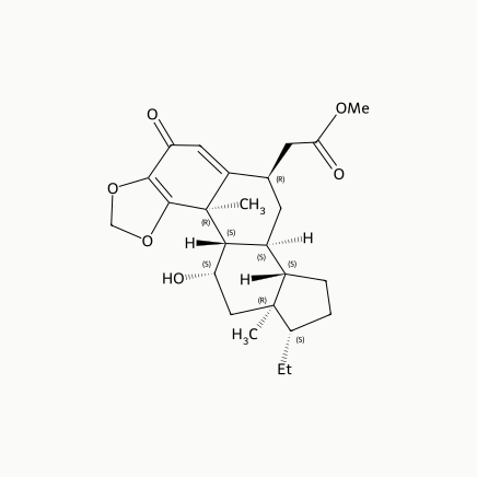 CC[C@H]1CC[C@H]2[C@@H]3C[C@H](CC(=O)OC)C4=CC(=O)C5=C(OCO5)[C@]4(C)[C@H]3[C@@H](O)C[C@]12C